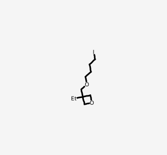 CCC1(COCCCCI)COC1